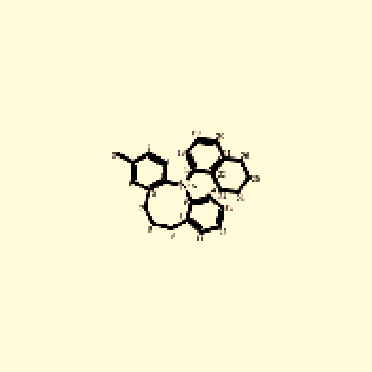 Cc1ccc2c(c1)CCCc1ccccc1N2c1cccc2c1CCCC2